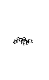 CCN(CC)CCOc1cc2c(cc1F)C(N1CCCC1)CC2